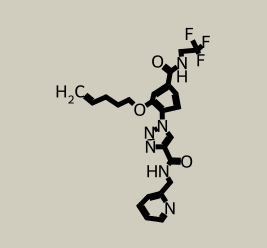 C=CCCCOc1cc(C(=O)NCC(F)(F)F)ccc1-n1cc(C(=O)NCc2ccccn2)nn1